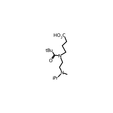 CC(C)N(C)CCN(CCCC(=O)O)C(=O)C(C)(C)C